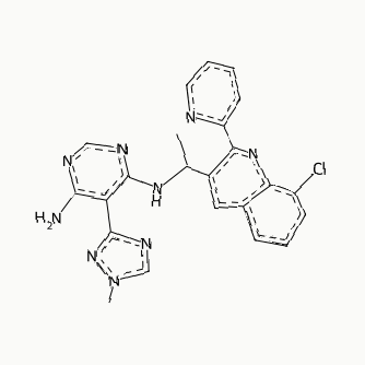 CC(Nc1ncnc(N)c1-c1ncn(C)n1)c1cc2cccc(Cl)c2nc1-c1ccccn1